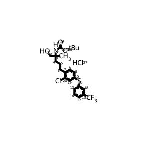 CC(CO)(CCCc1ccc(Sc2cccc(C(F)(F)F)c2)cc1Cl)NC(=O)OC(C)(C)C.Cl